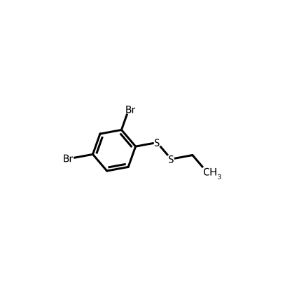 CCSSc1ccc(Br)cc1Br